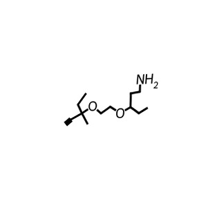 C#CC(C)(CC)OCCOC(CC)CCN